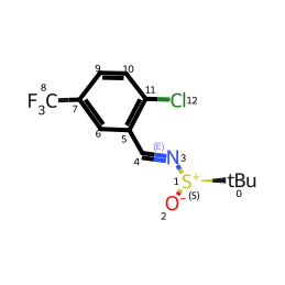 CC(C)(C)[S@@+]([O-])/N=C/c1cc(C(F)(F)F)ccc1Cl